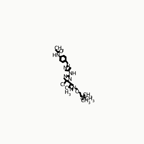 C=CC(=O)Nc1ccc(Cn2cc(Nc3ncc(Cl)c(-c4cn(COCC[Si](C)(C)C)nc4C)n3)cn2)cc1